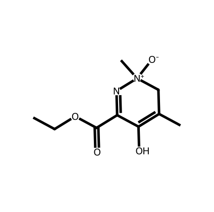 CCOC(=O)C1=N[N+](C)([O-])CC(C)=C1O